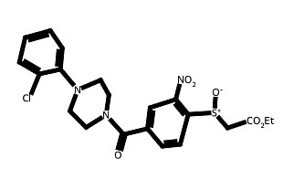 CCOC(=O)C[S+]([O-])c1ccc(C(=O)N2CCN(c3ccccc3Cl)CC2)cc1[N+](=O)[O-]